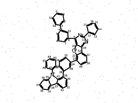 c1ccc(-c2cccc(-c3nc(-c4ccccc4)nc4c3oc3c(-c5cccc(-c6cccc7c8ccccc8n(-c8ccccc8)c67)c5)cccc34)c2)cc1